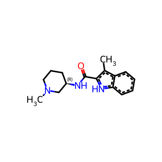 Cc1c(C(=O)N[C@@H]2CCCN(C)C2)[nH]c2ccccc12